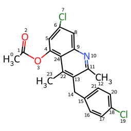 CC(=O)Oc1cc(Cl)cc2nc(C)c(Cc3ccc(Cl)cc3)c(C)c12